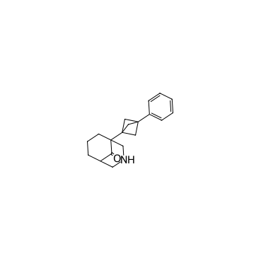 O=C1C2CCCC1(C13CC(c4ccccc4)(C1)C3)CNC2